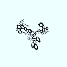 CC1(C)c2cc(N(c3ccc4c(c3)C(C)(C)c3cc(-c5cccc6ccccc56)c5oc6ccccc6c5c3-4)c3ccc4c(c3)C(C)(C)c3c5c(c6oc7ccccc7c6c3-4)-c3ccccc3C5(C)C)ccc2-c2cc3c(cc21)-c1c(ccc2oc4ccccc4c12)C3(C)C